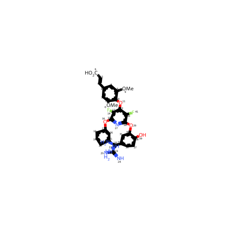 COc1cc(C=CC(=O)O)cc(OC)c1Oc1c(F)c(Oc2cccc(NC(=N)N)c2)nc(Oc2cc(C(=N)N)ccc2O)c1F